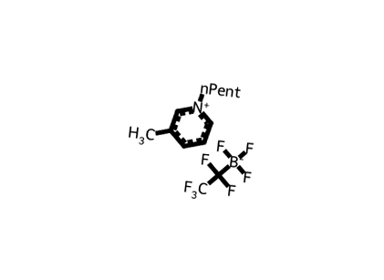 CCCCC[n+]1cccc(C)c1.F[B-](F)(F)C(F)(F)C(F)(F)F